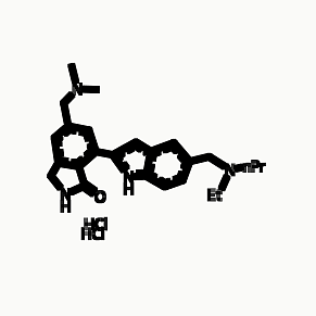 CCCN(CC)Cc1ccc2[nH]c(-c3cc(CN(C)C)cc4c3C(=O)NC4)cc2c1.Cl.Cl